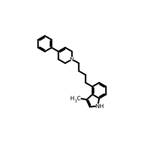 Cc1c[nH]c2cccc(CCCCN3CC=C(c4ccccc4)CC3)c12